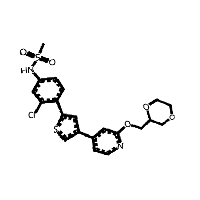 CS(=O)(=O)Nc1ccc(-c2cc(-c3ccnc(OCC4COCCO4)c3)cs2)c(Cl)c1